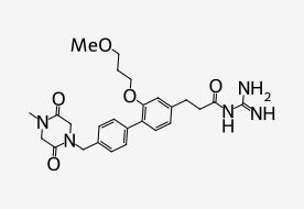 COCCCOc1cc(CCC(=O)NC(=N)N)ccc1-c1ccc(CN2CC(=O)N(C)CC2=O)cc1